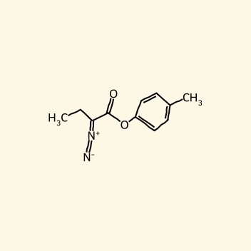 CCC(=[N+]=[N-])C(=O)Oc1ccc(C)cc1